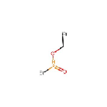 CC[PH](=O)OCC(C)C